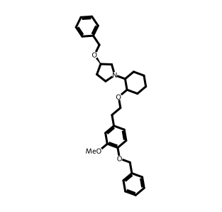 COc1cc(CCOC2CCCCC2N2CC[C@@H](OCc3ccccc3)C2)ccc1OCc1ccccc1